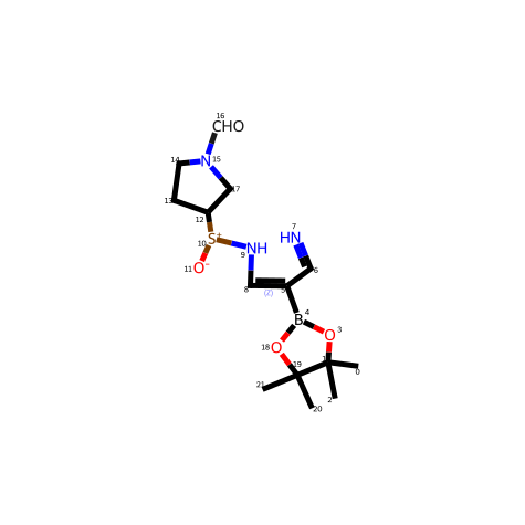 CC1(C)OB(/C(C=N)=C/N[S+]([O-])C2CCN(C=O)C2)OC1(C)C